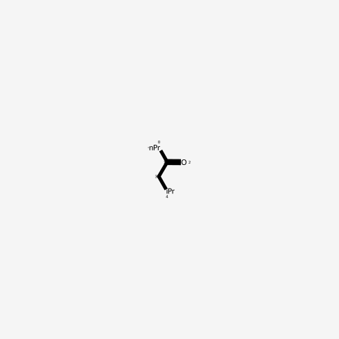 CC[CH]C(=O)CC(C)C